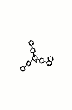 C1=Cc2cccc(-c3ccc(-c4nc(-c5ccc(-c6ccccc6)cc5)cc(-c5ccc(-c6ccccc6)cc5)n4)cc3)c2CC1